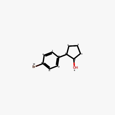 OC1CCCC1c1ccc(Br)cc1